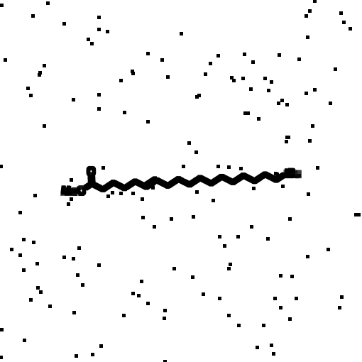 COC(=O)CCCCC=CCCCCCCCCCCCC(C)(C)C